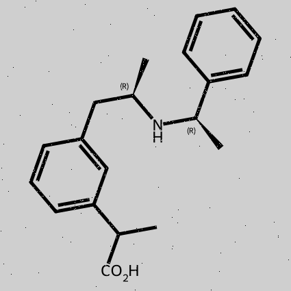 CC(C(=O)O)c1cccc(C[C@@H](C)N[C@H](C)c2ccccc2)c1